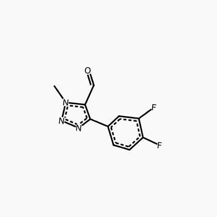 Cn1nnc(-c2ccc(F)c(F)c2)c1C=O